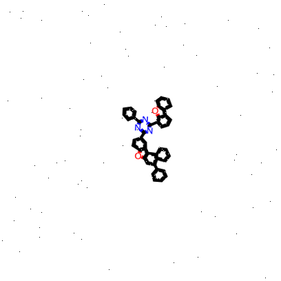 c1ccc(-c2nc(-c3ccc4oc5cc(-c6ccccc6)c6ccccc6c5c4c3)nc(-c3cccc4c3oc3ccccc34)n2)cc1